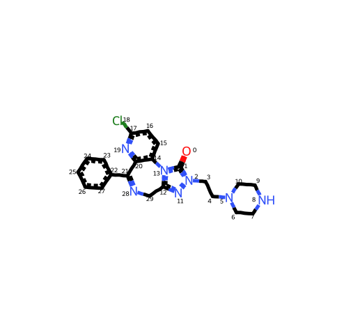 O=c1n(CCN2CCNCC2)nc2n1-c1ccc(Cl)nc1C(c1ccccc1)=NC2